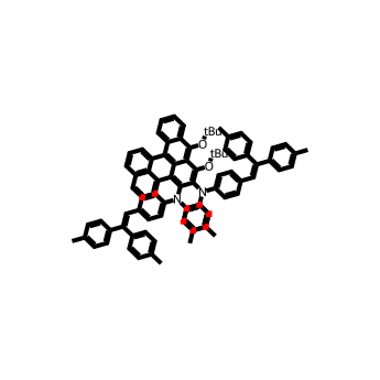 Cc1ccc(C(=Cc2ccc(N(c3ccc(C)cc3)c3c(OC(C)(C)C)c4c(OC(C)(C)C)c5ccccc5c5c6cccc7cccc(c(c3N(c3ccc(C)cc3)c3ccc(C=C(c8ccc(C)cc8)c8ccc(C)cc8)cc3)c45)c76)cc2)c2ccc(C)cc2)cc1